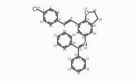 Clc1ccc(/C=C/c2cc(N=C(c3ccccc3)c3ccccc3)cc3c2OCC3)cc1